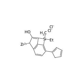 CC[Si]1(C)C2=C(O)[CH]([Zr+2])c3ccc(C4=CC=CC4)c1c32.[Cl-].[Cl-]